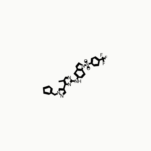 Cc1cnc(Nc2ccc3c(ccn3S(=O)(=O)c3ccc(C(F)(F)F)cc3)c2)nc1-c1cnn(Cc2ccccc2)c1